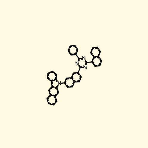 c1ccc(-c2nc(-c3ccc4ccc(-n5c6ccccc6c6cc7ccccc7cc65)cc4c3)nc(-c3cccc4ccccc34)n2)cc1